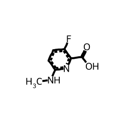 CNc1ccc(F)c(C(=O)O)n1